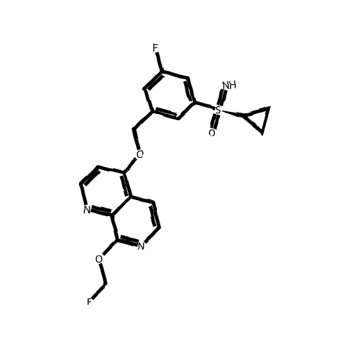 N=[S@](=O)(c1cc(F)cc(COc2ccnc3c(OCF)nccc23)c1)C1CC1